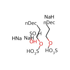 CCCCCCCCCCCCOS(=O)(=O)O.CCCCCCCCCCCCOS(=O)(=O)O.O=S(=O)(O)O.[NaH].[NaH].[NaH]